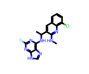 CNc1nc2c(Cl)cccc2cc1C(C)Nc1nc(F)nc2[nH]cnc12